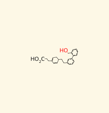 O=C(O)CCC1=CCC(CCc2cccc(-c3ccccc3CO)c2)C=C1